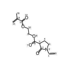 C=CN1CCC(C(=O)OCCOC(=O)C(=C)C)C1=O